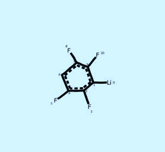 [Li][c]1c(F)c(F)cc(F)c1F